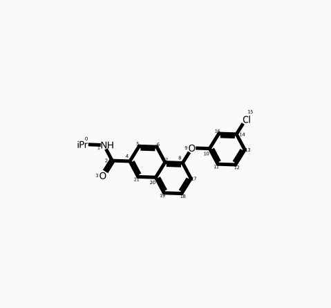 CC(C)NC(=O)c1ccc2c(Oc3cccc(Cl)c3)cccc2c1